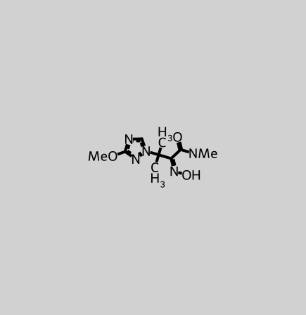 CNC(=O)C(=NO)C(C)(C)n1cnc(OC)n1